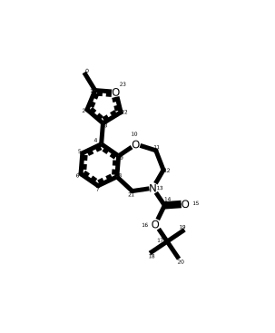 Cc1cc(-c2cccc3c2OCCN(C(=O)OC(C)(C)C)C3)co1